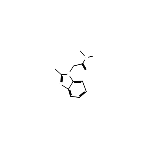 Cc1nc2ccccc2n1CC(=O)N(C)C